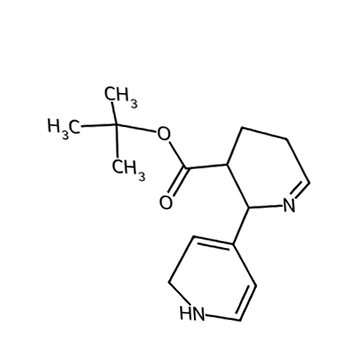 CC(C)(C)OC(=O)C1CCC=NC1C1=CCNC=C1